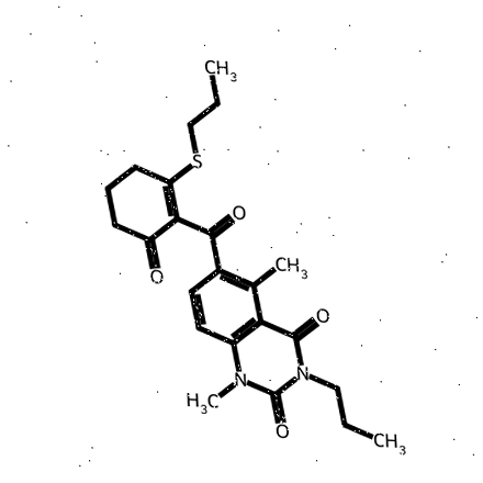 CCCSC1=C(C(=O)c2ccc3c(c2C)c(=O)n(CCC)c(=O)n3C)C(=O)CCC1